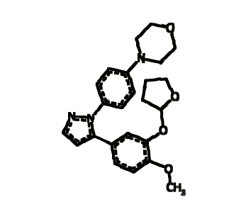 COc1ccc(-c2ccnn2-c2ccc(N3CCOCC3)cc2)cc1OC1CCCO1